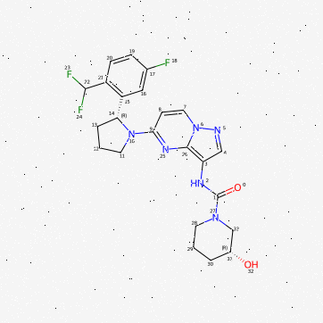 O=C(Nc1cnn2ccc(N3CCC[C@@H]3c3cc(F)ccc3C(F)F)nc12)N1CCC[C@@H](O)C1